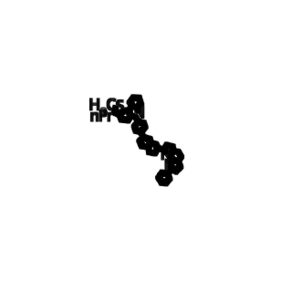 CCCC1C(C)SC2c3c(c(-c4ccc(-c5ccc6c(c5)C=C(C5=NC7=C(CC5)CCc5ccc(-c8ccccc8)nc57)CC6)cc4)nc4ccccc34)C=CC21